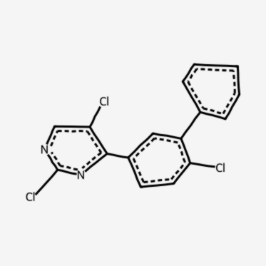 Clc1ncc(Cl)c(-c2ccc(Cl)c(-c3ccccc3)c2)n1